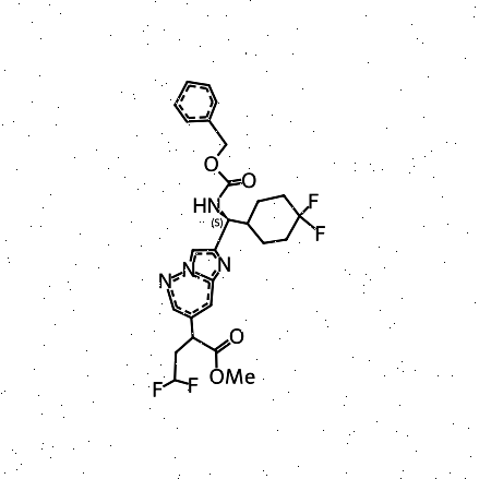 COC(=O)C(CC(F)F)c1cnn2cc([C@@H](NC(=O)OCc3ccccc3)C3CCC(F)(F)CC3)nc2c1